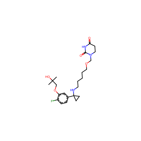 CC(C)(O)COc1cc(C2(NCCCCCOCN3CCC(=O)NC3=O)CC2)ccc1F